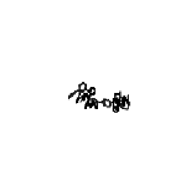 C#Cc1cccc(C(=O)Nc2cc(-c3ccc(NC(=O)c4cccnc4Cl)cc3)nn2C)c1